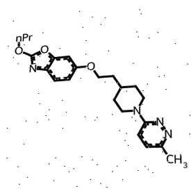 CCCOc1nc2ccc(OCCC3CCN(c4ccc(C)nn4)CC3)cc2o1